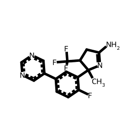 CC1(c2cc(-c3cncnc3)ccc2F)N=C(N)CC1C(F)(F)F